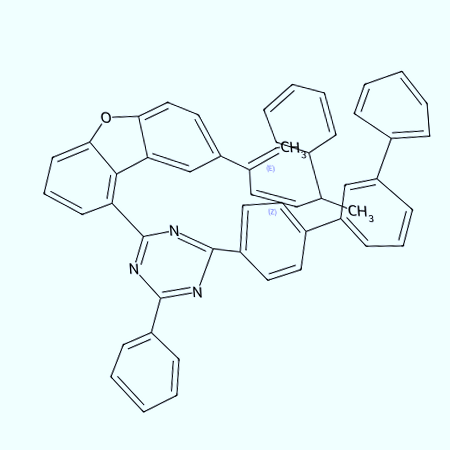 C/C=C(\C=C/C(C)C1C=CC=CC1)c1ccc2oc3cccc(-c4nc(-c5ccccc5)nc(-c5ccc(-c6cccc(-c7ccccc7)c6)cc5)n4)c3c2c1